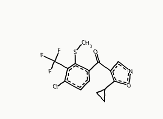 CSc1c(C(=O)c2cnoc2C2CC2)ccc(Cl)c1C(F)(F)F